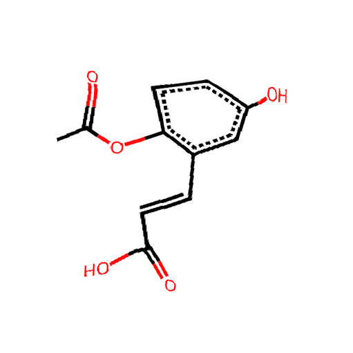 CC(=O)Oc1ccc(O)cc1C=CC(=O)O